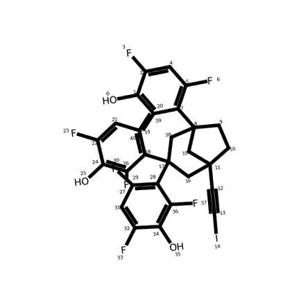 Oc1c(F)cc(F)c(C23CCC(C#CI)(C2)CC(c2c(F)cc(F)c(O)c2F)(c2c(F)cc(F)c(O)c2F)C3)c1F